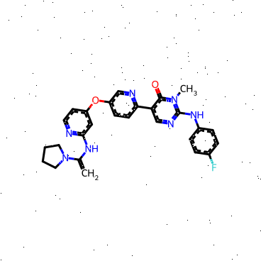 C=C(Nc1cc(Oc2ccc(-c3cnc(Nc4ccc(F)cc4)n(C)c3=O)nc2)ccn1)N1CCCC1